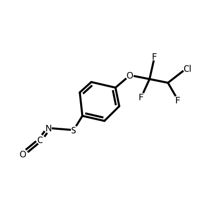 O=C=NSc1ccc(OC(F)(F)C(F)Cl)cc1